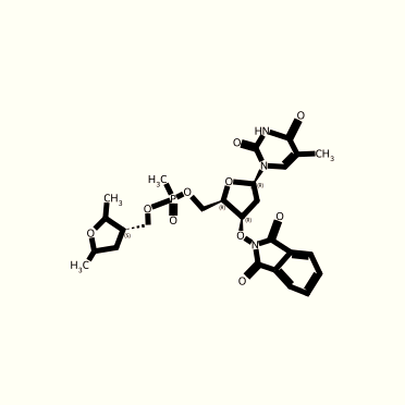 Cc1cn([C@H]2C[C@@H](ON3C(=O)c4ccccc4C3=O)[C@@H](COP(C)(=O)OC[C@@H]3CC(C)OC3C)O2)c(=O)[nH]c1=O